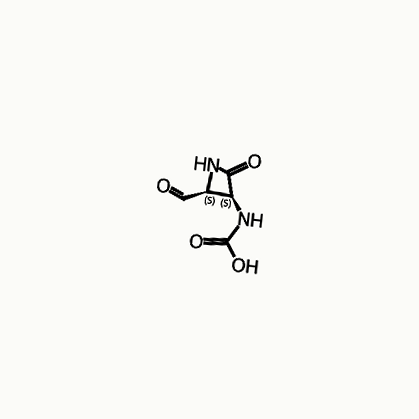 O=C[C@H]1NC(=O)[C@H]1NC(=O)O